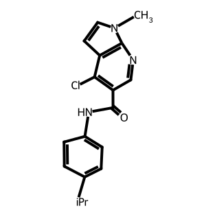 CC(C)c1ccc(NC(=O)c2cnc3c(ccn3C)c2Cl)cc1